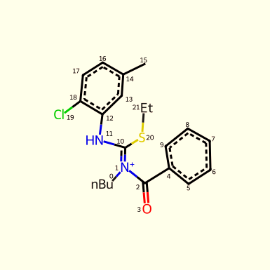 CCCC[N+](C(=O)c1ccccc1)=C(Nc1cc(C)ccc1Cl)SCC